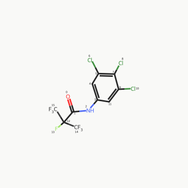 O=C(Nc1cc(Cl)c(Cl)c(Cl)c1)C(F)(C(F)(F)F)C(F)(F)F